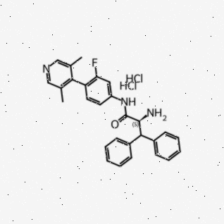 Cc1cncc(C)c1-c1ccc(NC(=O)[C@@H](N)C(c2ccccc2)c2ccccc2)cc1F.Cl.Cl